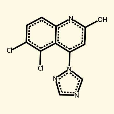 Oc1cc(-n2cncn2)c2c(Cl)c(Cl)ccc2n1